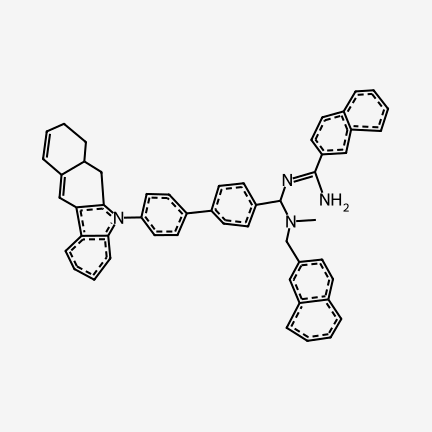 CN(Cc1ccc2ccccc2c1)C(/N=C(\N)c1ccc2ccccc2c1)c1ccc(-c2ccc(-n3c4c(c5ccccc53)C=C3C=CCCC3C4)cc2)cc1